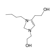 CCCCN1CN(CCO)C=C1CCO